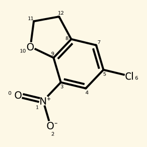 O=[N+]([O-])c1cc(Cl)cc2c1OCC2